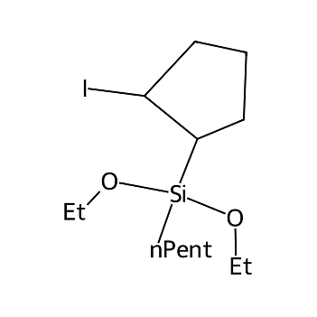 CCCCC[Si](OCC)(OCC)C1CCCC1I